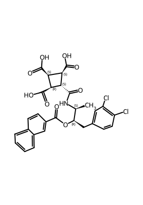 C[C@H](NC(=O)[C@H]1[C@H](C(=O)O)[C@H](C(=O)O)[C@@H]1C(=O)O)[C@@H](Cc1ccc(Cl)c(Cl)c1)OC(=O)c1ccc2ccccc2c1